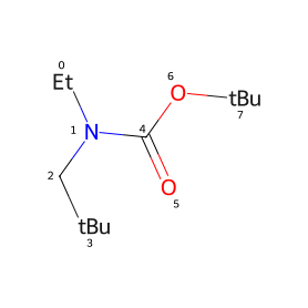 CCN(CC(C)(C)C)C(=O)OC(C)(C)C